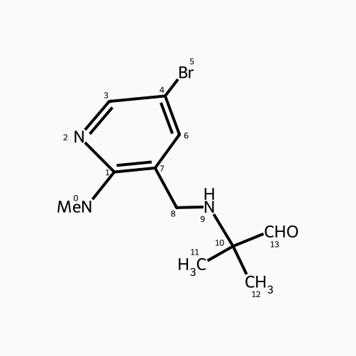 CNc1ncc(Br)cc1CNC(C)(C)C=O